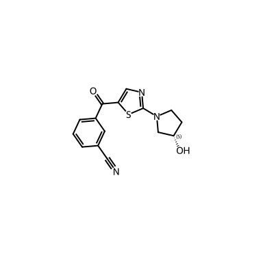 N#Cc1cccc(C(=O)c2cnc(N3CC[C@H](O)C3)s2)c1